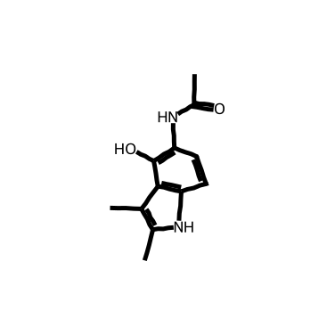 CC(=O)Nc1ccc2[nH]c(C)c(C)c2c1O